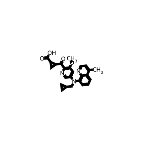 COc1cc(N(CC2CC2)c2cccc3c(C)ccnc23)cnc1C(=O)C1CC1C(=O)O